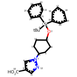 CC(C)(C)[Si](OC1CCC(n2cc(C(=O)O)cn2)CC1)(c1ccccc1)c1ccccc1